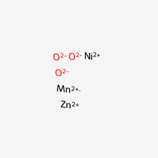 [Mn+2].[Ni+2].[O-2].[O-2].[O-2].[Zn+2]